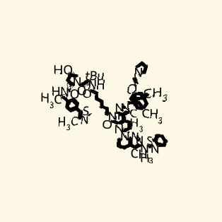 Cc1ncsc1-c1ccc([C@H](C)NC(=O)[C@@H]2C[C@@H](O)CN2C(=O)[C@@H](NC(=O)CCCCCCNC(=O)c2nc(N3CCCc4c3nnc(Nc3nc5ccccc5s3)c4C)ccc2-c2cnn(CC34CC5(C)CC(C)(C3)CC(OCCN3CCCC3)(C5)C4)c2C)C(C)(C)C)cc1